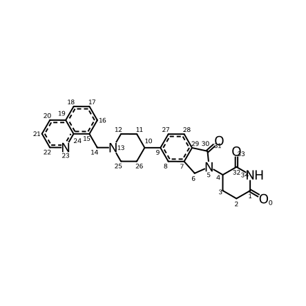 O=C1CCC(N2Cc3cc(C4CCN(Cc5cccc6cccnc56)CC4)ccc3C2=O)C(=O)N1